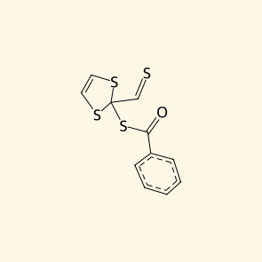 O=C(SC1(C=S)SC=CS1)c1ccccc1